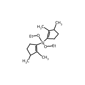 CCO[Si](OCC)(C1=C(C)C(C)CC1)C1=C(C)C(C)CC1